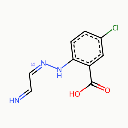 N=C/C=N\Nc1ccc(Cl)cc1C(=O)O